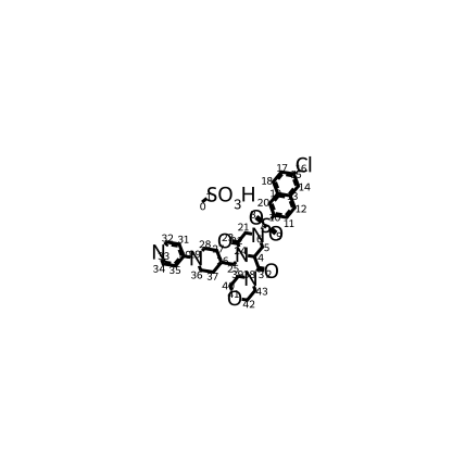 CS(=O)(=O)O.O=C(C1CN(S(=O)(=O)c2ccc3cc(Cl)ccc3c2)CC(=O)N1CC1CCN(c2ccncc2)CC1)N1CCOCC1